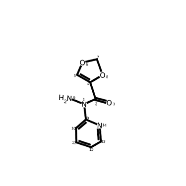 NN(C(=O)C1=COCO1)c1ccccn1